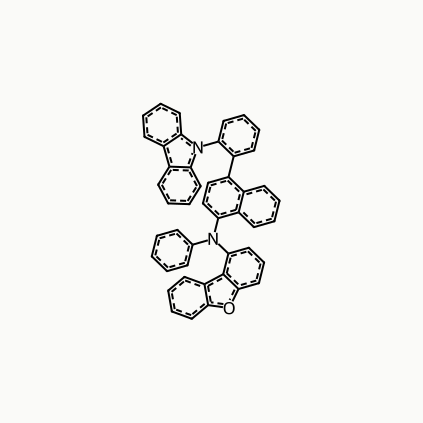 c1ccc(N(c2ccc(-c3ccccc3-n3c4ccccc4c4ccccc43)c3ccccc23)c2cccc3oc4ccccc4c23)cc1